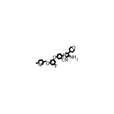 Cc1ccc(COc2cc(F)cc(Oc3ccc(-n4cc(C5CCOCC5)c(N)c4C#N)cc3)c2)cn1